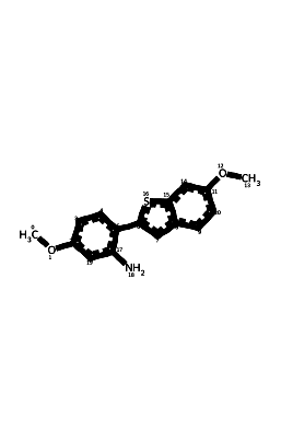 COc1ccc(-c2cc3ccc(OC)cc3s2)c(N)c1